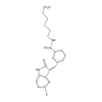 O=C(O)CCCCCNC(=O)c1cccc(C=C2C(=O)Nc3ccc(F)cc32)c1